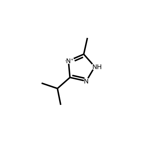 CC1=[N+]C(C(C)C)=NN1